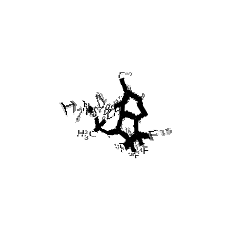 CC(C)(C=C1c2c(ccc(F)c2Br)C(F)(F)C1(F)F)[S+](N)[O-]